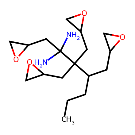 CCCC(CC1CO1)C(CC1CO1)(CC1CO1)C(N)(N)CC1CO1